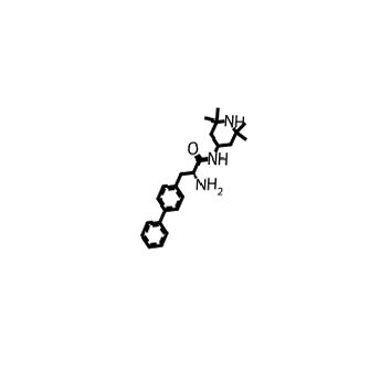 CC1(C)CC(NC(=O)[C@@H](N)Cc2ccc(-c3ccccc3)cc2)CC(C)(C)N1